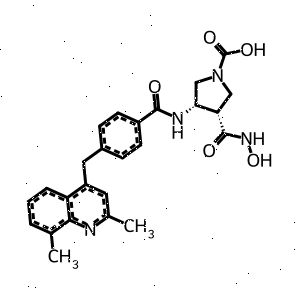 Cc1cc(Cc2ccc(C(=O)N[C@@H]3CN(C(=O)O)C[C@@H]3C(=O)NO)cc2)c2cccc(C)c2n1